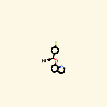 C#CC(Oc1cccc2cccnc12)c1ccc(F)cc1